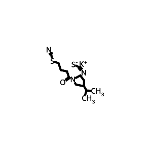 CC(C)C1CCN(C(=O)CCCSC#N)C1.N#C[S-].[K+]